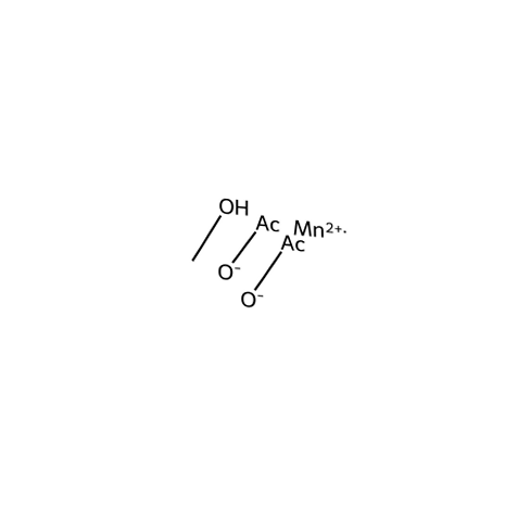 CC(=O)[O-].CC(=O)[O-].CO.[Mn+2]